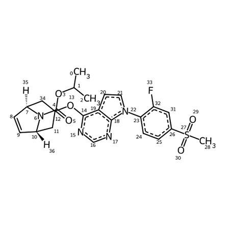 CC(C)OC(=O)N1[C@H]2C=C[C@H]1CC(Oc1ncnc3c1ccn3-c1ccc(S(C)(=O)=O)cc1F)C2